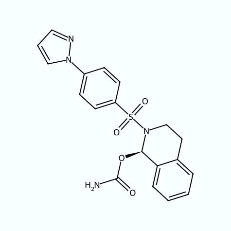 NC(=O)O[C@@H]1c2ccccc2CCN1S(=O)(=O)c1ccc(-n2cccn2)cc1